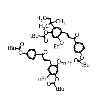 C=CC(C)(C)c1cc(C=CC(=O)c2ccc(OC(=O)C(C)(C)C)cc2)c(OCC)cc1OC(=O)C(C)(C)C.CCCOc1cc(OC(=O)C(C)(C)C)c(CCC)cc1C=CC(=O)c1ccc(OC(=O)C(C)(C)C)cc1